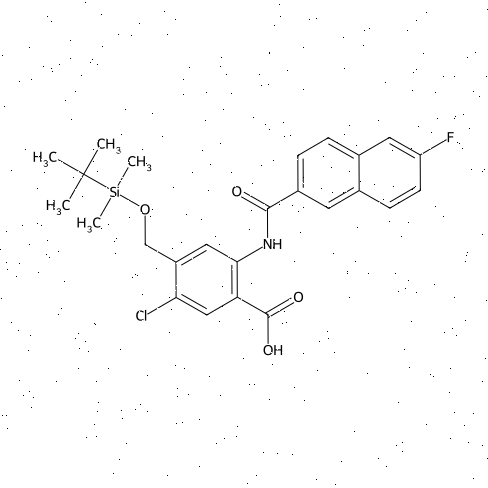 CC(C)(C)[Si](C)(C)OCc1cc(NC(=O)c2ccc3cc(F)ccc3c2)c(C(=O)O)cc1Cl